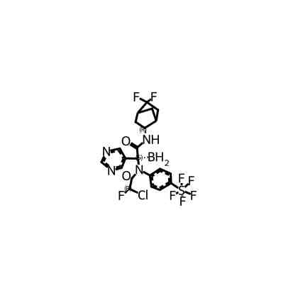 B[C@@](C(=O)N[C@@H]1CC2CC1CC2(F)F)(c1cncnc1)N(C(=O)[C@H](F)Cl)c1ccc(S(F)(F)(F)(F)F)cc1